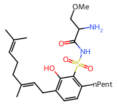 CCCCCc1ccc(C/C=C(\C)CCC=C(C)C)c(O)c1S(=O)(=O)NC(=O)C(N)COC